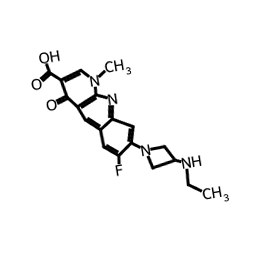 CCNC1CN(c2cc3nc4c(cc3cc2F)c(=O)c(C(=O)O)cn4C)C1